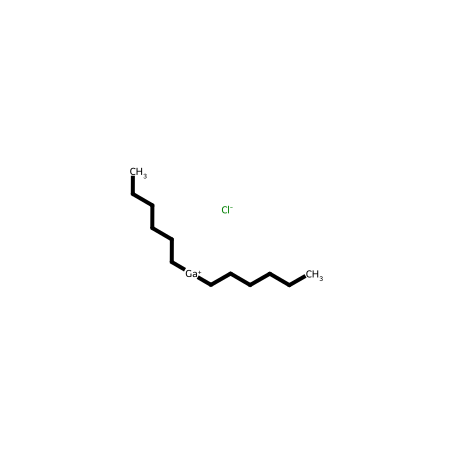 CCCCC[CH2][Ga+][CH2]CCCCC.[Cl-]